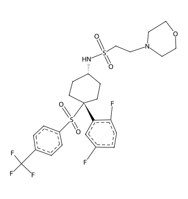 O=S(=O)(CCN1CCOCC1)N[C@H]1CC[C@@](c2cc(F)ccc2F)(S(=O)(=O)c2ccc(C(F)(F)F)cc2)CC1